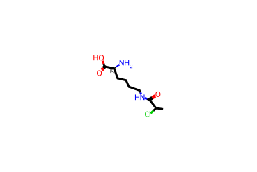 CC(Cl)C(=O)NCCCC[C@H](N)C(=O)O